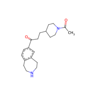 CC(=O)N1CCC(CCC(=O)c2ccc3c(c2)CCNCC3)CC1